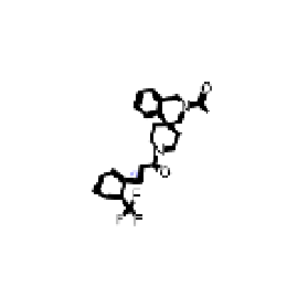 CC(=O)N1Cc2ccccc2C2(CCN(C(=O)/C=C/c3ccccc3C(F)(F)F)CC2)C1